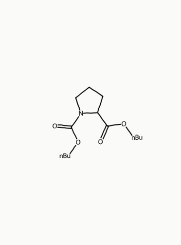 CCCCOC(=O)C1CCCN1C(=O)OCCCC